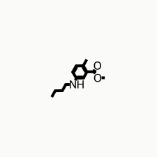 CCCCNc1ccc(C)c(C(=O)OC)c1